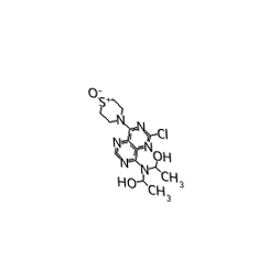 CC(O)N(c1ncnc2c(N3CC[S+]([O-])CC3)nc(Cl)nc12)C(C)O